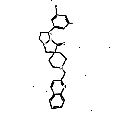 O=C1N2[C@H](c3cc(F)cc(F)c3)CCN2CC12CCN(Cc1ccc3ccccc3n1)CC2